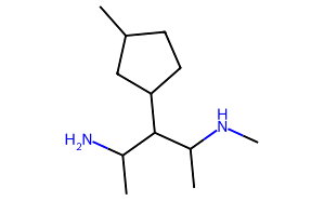 CNC(C)C(C(C)N)C1CCC(C)C1